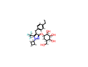 CCc1ccc(Cc2c(OC3CC(CO)C(O)C(O)C3O)nn(C3CCC3)c2C(F)(F)F)cc1